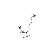 CC(C)(C)C(=O)CCC[CH2][Zn].I